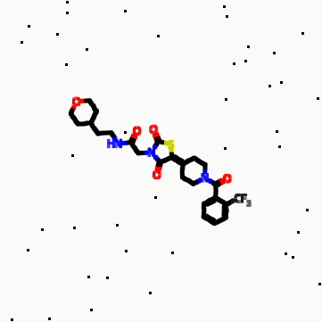 O=C(CN1C(=O)SC(=C2CCN(C(=O)c3ccccc3C(F)(F)F)CC2)C1=O)NCCC1CCOCC1